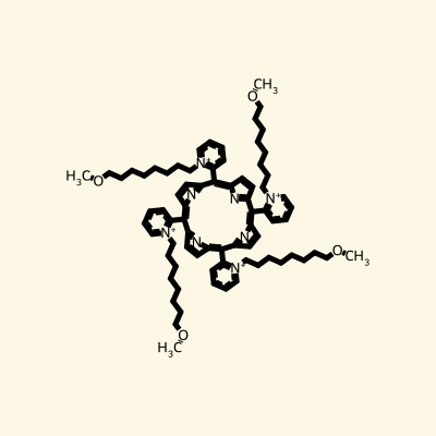 COCCCCCCCC[n+]1ccccc1C1=C2C=CC(=N2)C(c2cccc[n+]2CCCCCCCCOC)=C2C=CC(=N2)C(c2cccc[n+]2CCCCCCCCOC)=C2C=CC(=N2)C(c2cccc[n+]2CCCCCCCCOC)=C2C=CC1=N2